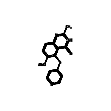 COc1ccc2nc(C)[nH]c(=O)c2c1Sc1ccncc1